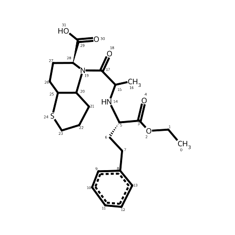 CCOC(=O)[C@H](CCc1ccccc1)NC(C)C(=O)N1C2CCCSC2CC[C@H]1C(=O)O